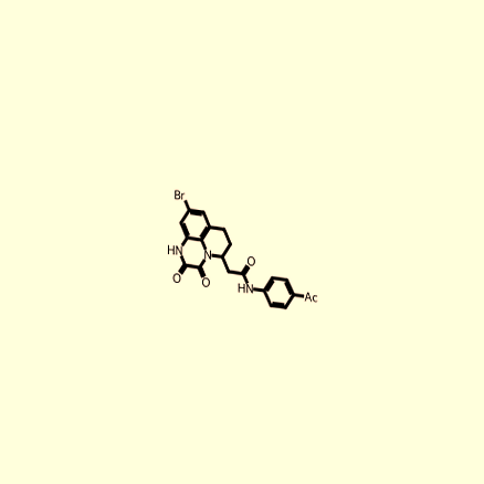 CC(=O)c1ccc(NC(=O)CC2CCc3cc(Br)cc4[nH]c(=O)c(=O)n2c34)cc1